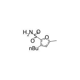 CCCCc1cc(C)oc1S(N)(=O)=O